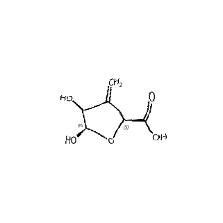 C=C1C(O)[C@H](O)O[C@@H]1C(=O)O